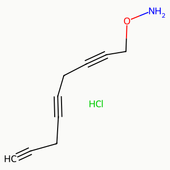 C#CCC#CCC#CCON.Cl